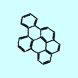 c1ccc2c(c1)c1cccc3c4cccc5ccc6ccc2c(c13)c6c54